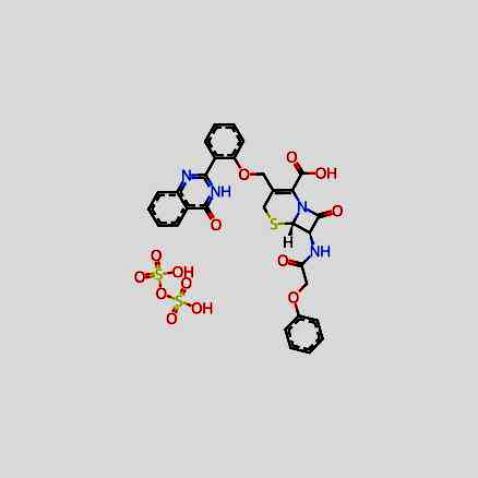 O=C(COc1ccccc1)N[C@@H]1C(=O)N2C(C(=O)O)=C(COc3ccccc3-c3nc4ccccc4c(=O)[nH]3)CS[C@@H]12.O=S(=O)(O)OS(=O)(=O)O